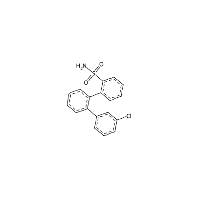 NS(=O)(=O)c1ccccc1-c1ccccc1-c1cccc(Cl)c1